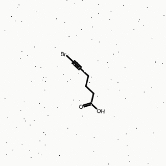 O=C(O)CCCC#CBr